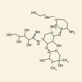 C[C@@H]1C(O)[C@@H](OC2C(O)C(O[C@H]3O[C@H](CNCCO)CCC3N)[C@@H](N)C[C@H]2NC(=N)C(O)C(O)C(O)CO)OCC1(C)O